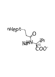 CCCCCCCCCC(=O)N[C@H](C(=O)[O-])C(C)C.[Na+]